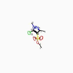 CCOS(=O)(=O)c1c(C)nn(C)c1Cl